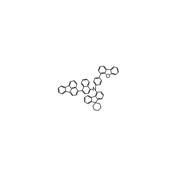 c1ccc2c(c1)-c1cccc3c(-c4ccc(N(c5ccc(-c6cccc7c6oc6ccccc67)cc5)c5cccc6c5-c5ccccc5C65CCCCC5)c5ccccc45)ccc-2c13